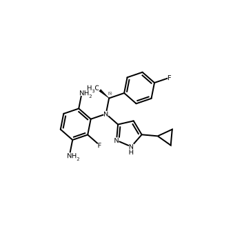 C[C@@H](c1ccc(F)cc1)N(c1cc(C2CC2)[nH]n1)c1c(N)ccc(N)c1F